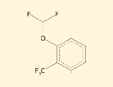 FC(F)Oc1ccc[c]c1C(F)(F)F